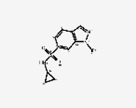 CC(C)n1ncc2ccc(S(=O)(=O)NC3CC3)cc21